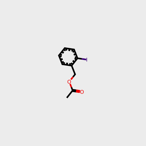 CC(=O)OCc1ccccc1I